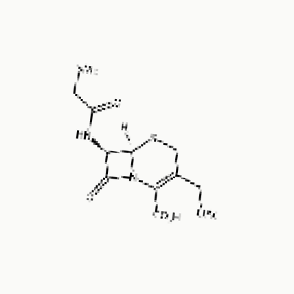 CSCC(=O)N[C@@H]1C(=O)N2C(C(=O)O)=C(COC(C)=O)CS[C@H]12